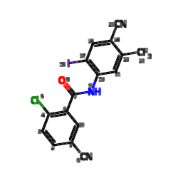 N#Cc1ccc(Cl)c(C(=O)Nc2cc(C(F)(F)F)c(C#N)cc2I)c1